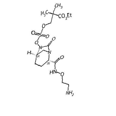 CCOC(=O)C(C)(C)COS(=O)(=O)ON1C(=O)N2C[C@H]1CC[C@H]2C(=O)NOCCN